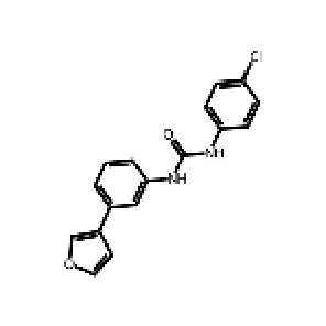 O=C(Nc1ccc(Cl)cc1)Nc1cccc(-c2ccoc2)c1